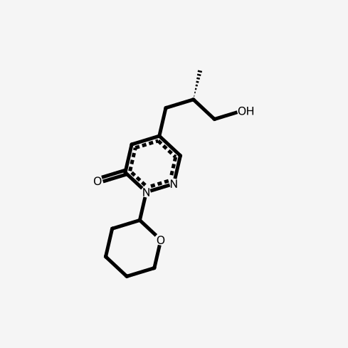 C[C@H](CO)Cc1cnn(C2CCCCO2)c(=O)c1